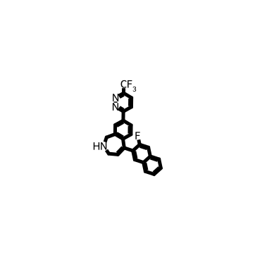 Fc1cc2ccccc2cc1C1=CCNCc2cc(-c3ccc(C(F)(F)F)nn3)ccc21